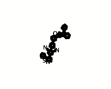 N#Cc1cc(-c2ccnc3sc4ccccc4c23)cc(C#N)c1-c1ccc(-c2ccc3oc4cc5c(cc4c3c2)c2ccccc2n5-c2ccccc2)cc1